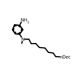 CCCCCCCCCCCCCCCCCCN(C)c1cccc(N)c1